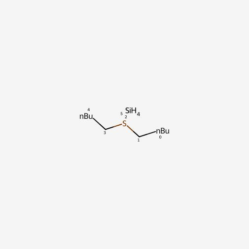 CCCCCSCCCCC.[SiH4]